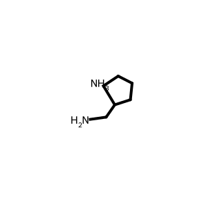 N.NCC1CCCC1